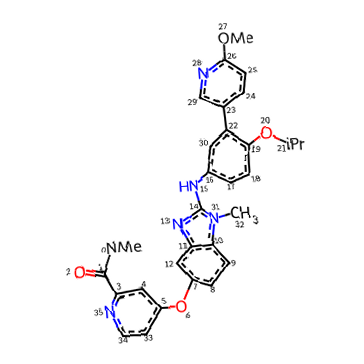 CNC(=O)c1cc(Oc2ccc3c(c2)nc(Nc2ccc(OC(C)C)c(-c4ccc(OC)nc4)c2)n3C)ccn1